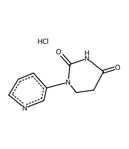 Cl.O=C1CCN(c2cccnc2)C(=O)N1